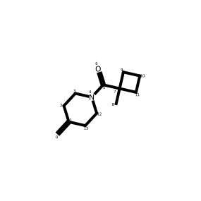 C=C1CCN(C(=O)C2(C)CCC2)CC1